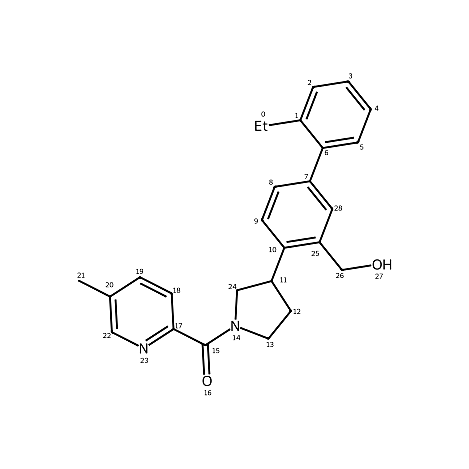 CCc1ccccc1-c1ccc(C2CCN(C(=O)c3ccc(C)cn3)C2)c(CO)c1